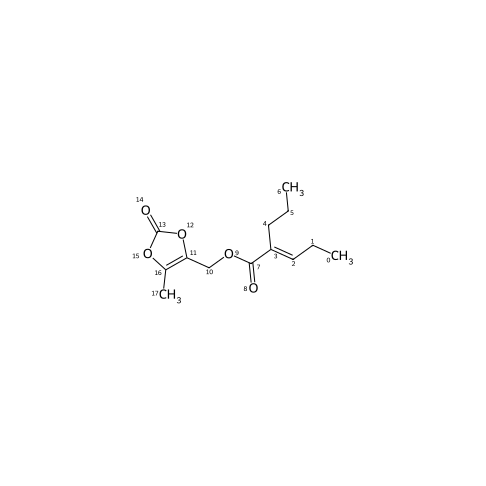 CC/C=C(\CCC)C(=O)OCc1oc(=O)oc1C